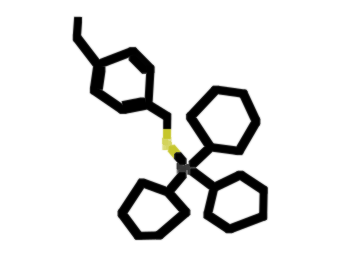 CCc1ccc(C[S][Sn]([CH]2CCCCC2)([CH]2CCCCC2)[CH]2CCCCC2)cc1